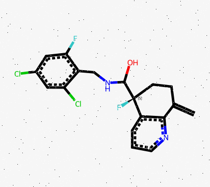 C=C1CC[C@@](F)(C(O)NCc2c(F)cc(Cl)cc2Cl)c2cccnc21